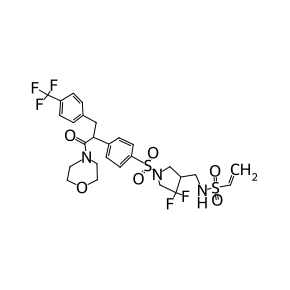 C=CS(=O)(=O)NCC1CN(S(=O)(=O)c2ccc(C(Cc3ccc(C(F)(F)F)cc3)C(=O)N3CCOCC3)cc2)CC1(F)F